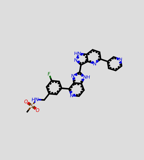 CS(=O)(=O)NCc1cc(F)cc(-c2nccc3[nH]c(-c4n[nH]c5ccc(-c6cccnc6)nc45)nc23)c1